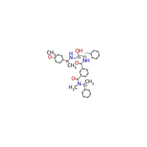 COc1ccc([C@@H](C)NC[C@@H](O)[C@H](Cc2ccccc2)NC(=O)c2cccc(C(=O)N(C)[C@@H](C)c3ccccc3)c2)cc1